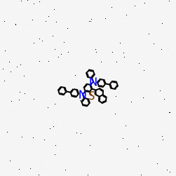 c1ccc(-c2ccc(N(c3ccccc3)c3ccc(N(c4ccccc4)c4ccc(-c5ccccc5)cc4)c4c3sc3c5ccccc5ccc34)cc2)cc1